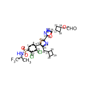 C[C@H](NS(=O)(=O)c1ccc(-c2sc(-c3nnc([C@H]4C[C@H](OC=O)C4)o3)nc2CC2CCC2)c(Cl)c1Cl)C(F)(F)F